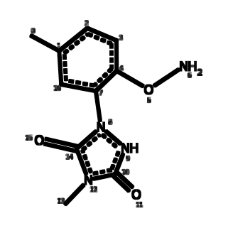 Cc1ccc(ON)c(-n2[nH]c(=O)n(C)c2=O)c1